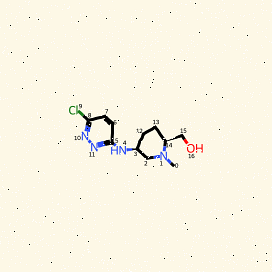 CN1C[C@@H](Nc2ccc(Cl)nn2)CC[C@H]1CO